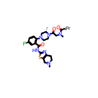 CC(C)C(=O)N(C)CC(=O)N1CCN(c2ccc(F)cc2C(=O)Nc2nc3c(s2)CN(C)CC3)C[C@@H]1C